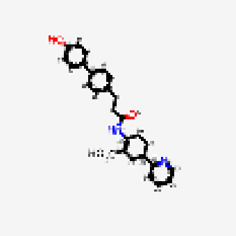 O=C(CCc1ccc(-c2ccc(O)cc2)cc1)NC1=C(C(=O)O)CC(c2ccccn2)CC1